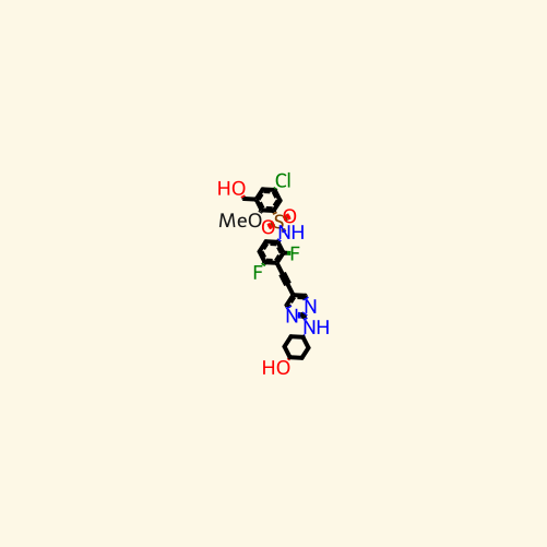 COc1c(CO)cc(Cl)cc1S(=O)(=O)Nc1ccc(F)c(C#Cc2cnc(N[C@H]3CC[C@H](O)CC3)nc2)c1F